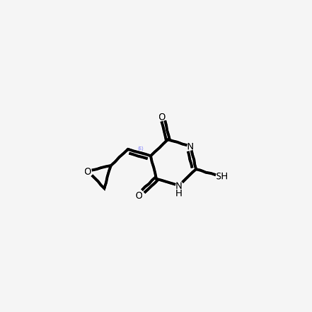 O=C1N=C(S)NC(=O)/C1=C\C1CO1